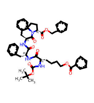 CC(C)(C)OC(=O)N[C@@H](CCCCOC(=O)c1ccccc1)C(=O)N[C@H](Cc1ccccc1)C(=O)N[C@@H](Cc1ccccc1)C(=O)N1CCC[C@@H]1C(=O)OCc1ccccc1